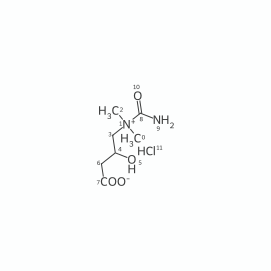 C[N+](C)(CC(O)CC(=O)[O-])C(N)=O.Cl